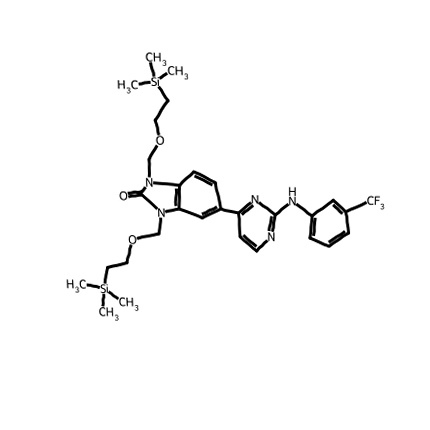 C[Si](C)(C)CCOCn1c(=O)n(COCC[Si](C)(C)C)c2cc(-c3ccnc(Nc4cccc(C(F)(F)F)c4)n3)ccc21